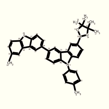 Cc1ccc(-n2c3ccc(B4OC(C)(C)C(C)(C)O4)cc3c3cc(-c4ccc5sc6ccc(C)cc6c5c4)ccc32)cc1